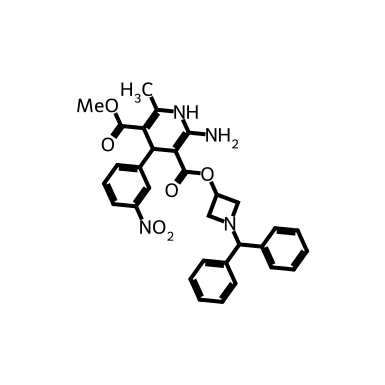 COC(=O)C1=C(C)NC(N)=C(C(=O)OC2CN(C(c3ccccc3)c3ccccc3)C2)C1c1cccc([N+](=O)[O-])c1